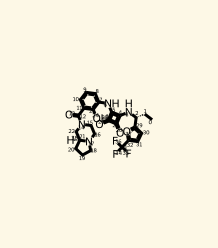 CC[C@@H](Nc1c(Nc2cccc(C(=O)N3CCN4CCC[C@H]4C3)c2O)c(=O)c1=O)c1ccc(C(F)(F)F)o1